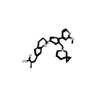 COc1cc(-c2ccc([C@@H]3CCc4ccc(CC(C)C(=O)O)cc4O3)cc2CN2CCCC3(CC3)C2)ccn1